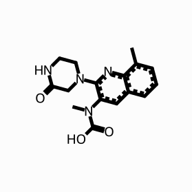 Cc1cccc2cc(N(C)C(=O)O)c(N3CCNC(=O)C3)nc12